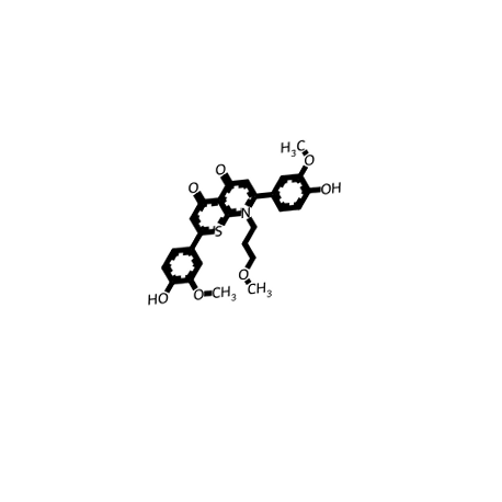 COCCCn1c(-c2ccc(O)c(OC)c2)cc(=O)c2c(=O)cc(-c3ccc(O)c(OC)c3)sc21